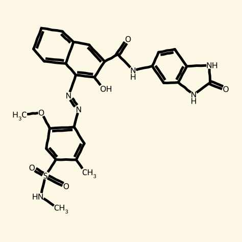 CNS(=O)(=O)c1cc(OC)c(/N=N/c2c(O)c(C(=O)Nc3ccc4[nH]c(=O)[nH]c4c3)cc3ccccc23)cc1C